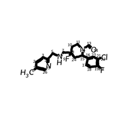 Cc1ccc(CNCC2(F)CCN(C=O)C(c3ccc(F)c(Cl)c3)C2)nc1